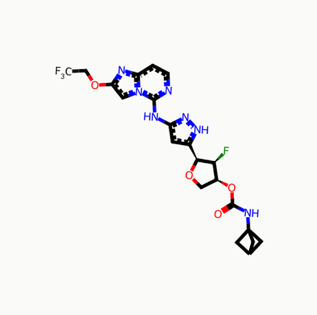 O=C(NC12CC(C1)C2)O[C@H]1CO[C@@H](c2cc(Nc3nccc4nc(OCC(F)(F)F)cn34)n[nH]2)[C@H]1F